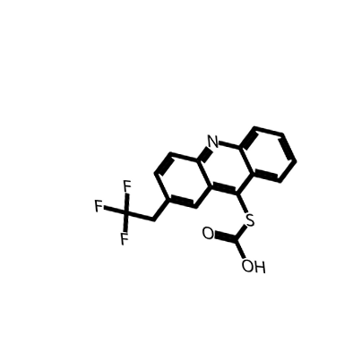 O=C(O)Sc1c2ccccc2nc2ccc(CC(F)(F)F)cc12